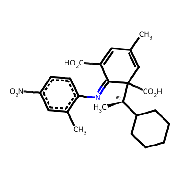 CC1=CC(C(=O)O)([C@H](C)C2CCCCC2)C(=Nc2ccc([N+](=O)[O-])cc2C)C(C(=O)O)=C1